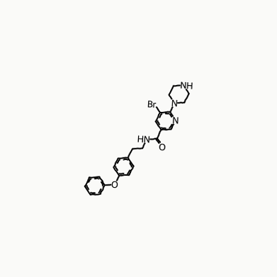 O=C(NCCc1ccc(Oc2ccccc2)cc1)c1cnc(N2CCNCC2)c(Br)c1